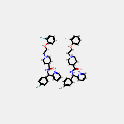 O=C(NC(c1ccc(F)cc1)c1ccccn1)C1CCN(CCOc2ccccc2F)CC1.O=C(NC(c1ccc(F)cc1)c1ccccn1)C1CCN(CCOc2ccccc2F)CC1